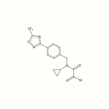 CCC(=O)C(=O)N(Cc1ccc(-c2noc(C(F)(F)F)n2)cc1)C1CC1